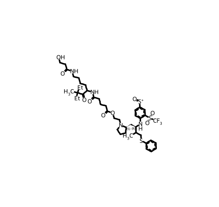 CCC(C)(CC)C(=O)C(CCCCNC(=O)CCO)NC(=O)CCCC(=O)OCCN1CCC[C@H]1C[C@@H](Nc1ccc([S+]=O)cc1S(=O)(=O)C(F)(F)F)C(C)CSc1ccccc1